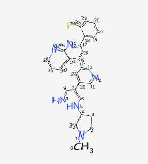 CN1CCC(N/C=C(\C=N)c2cncc(-c3cc(-c4ccccc4F)nc4ncccc34)c2)C1